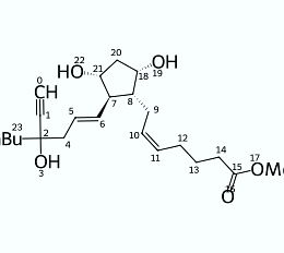 C#CC(O)(C/C=C/[C@@H]1[C@@H](C/C=C\CCCC(=O)OC)[C@@H](O)C[C@H]1O)CCCC